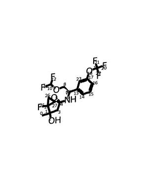 CC(O)(CC(=O)N[C@@H](COC(F)F)c1cccc(OC(F)(F)F)c1)C1(F)CC1